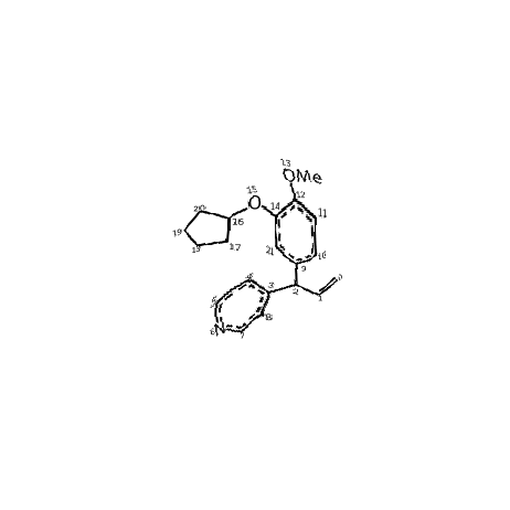 C=CC(c1ccncc1)c1ccc(OC)c(OC2CCCC2)c1